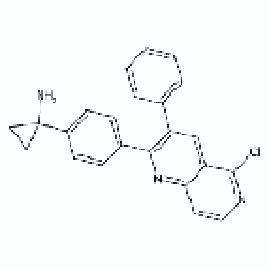 NC1(c2ccc(-c3nc4ccnc(Cl)c4cc3-c3ccccc3)cc2)CC1